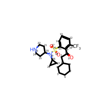 O=C(CC1CCCCC1)c1c(C(F)(F)F)cccc1S(=O)(=O)N(C1CCNCC1)C1CC1